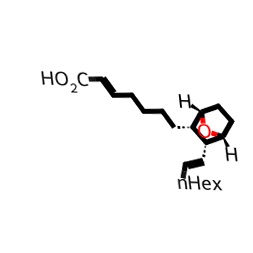 CCCCCC/C=C/[C@@H]1[C@H](CCCC/C=C/C(=O)O)[C@@H]2CC[C@H]1O2